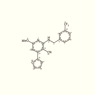 COc1nc(NCc2cccc(C(F)(F)F)c2)c(C#N)c(-c2ccco2)n1